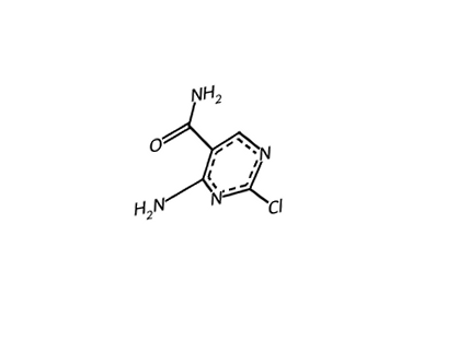 NC(=O)c1cnc(Cl)nc1N